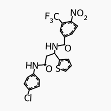 O=C(CC(NC(=O)c1ccc([N+](=O)[O-])c(C(F)(F)F)c1)c1cccs1)Nc1ccc(Cl)cc1